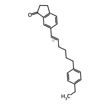 CCc1ccc(CCCC/C=C/c2ccc3c(c2)C(=O)CC3)cc1